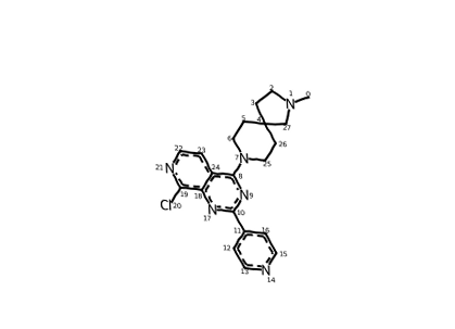 CN1CCC2(CCN(c3nc(-c4ccncc4)nc4c(Cl)nccc34)CC2)C1